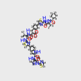 CC(C)[C@H](NC(=O)c1ccccc1)C(=O)Nc1nc(-c2ccc3c(c2)OC(=O)C(C(=O)N[C@H](C(=O)Nc2nc(-c4ccc5[nH]c(C(=O)N[C@H](C(=O)Nc6nccs6)C(C)C)cc5c4)cs2)C(C)C)C3)cs1